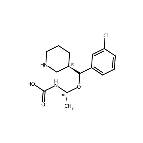 C[C@H](NC(=O)O)OC(c1cccc(Cl)c1)[C@@H]1CCCNC1